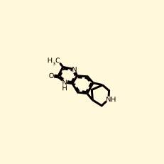 Cc1nc2cc3c(cc2[nH]c1=O)C1CNCC3C1